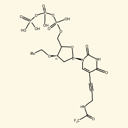 CCC(C)CO[C@@H]1C[C@H](n2cc(C#CCNC(=O)C(F)(F)F)c(=O)[nH]c2=O)OC1COP(=O)(O)OP(=O)(O)OP(=O)(O)O